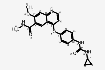 CNC(=O)c1cc2c(Oc3ccc(NC(=O)NC4CC4)cc3)ccnc2cc1OC